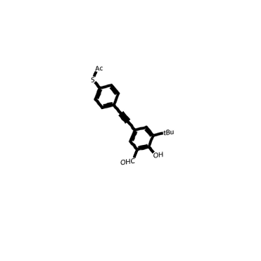 CC(=O)Sc1ccc(C#Cc2cc(C=O)c(O)c(C(C)(C)C)c2)cc1